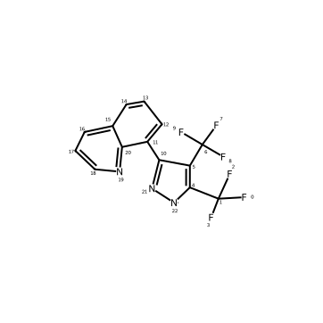 FC(F)(F)C1=C(C(F)(F)F)C(c2cccc3cccnc23)=N[N]1